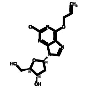 C=CCOc1nc(Cl)nc2c1ncn2[C@@H]1C[C@H](O)[C@@H](CO)O1